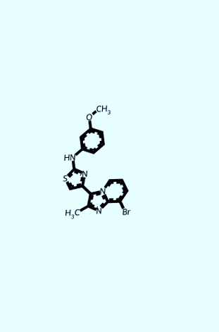 COc1cccc(Nc2nc(-c3c(C)nc4c(Br)cccn34)cs2)c1